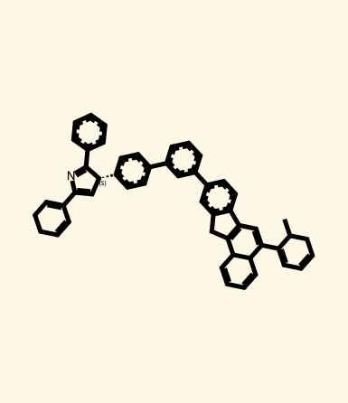 CC1CC=CC=C1C1=CC2=C(Cc3cc(-c4cccc(-c5ccc([C@@H]6C=C(C7=CCCC=C7)N=C6c6ccccc6)cc5)c4)ccc32)C2C=CC=CC12